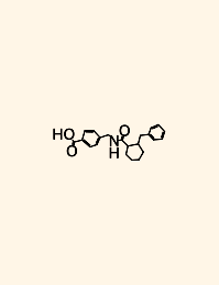 O=C(O)c1ccc(CNC(=O)C2CCCCC2Cc2ccccc2)cc1